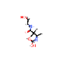 CC(NC(=O)O)C(C)(C)C(=O)NCCO